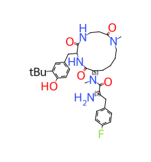 CN1CCCC[C@H](N(C)C(=O)[C@@H](N)Cc2ccc(F)cc2)C(=O)NC(Cc2ccc(O)c(C(C)(C)C)c2)C(=O)NCCC1=O